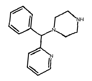 c1ccc(C(c2ccccn2)N2CCNCC2)cc1